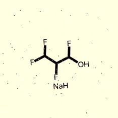 OC(F)C(F)C(F)F.[NaH]